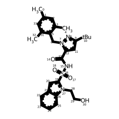 Cc1cc(C)c(Cn2nc(C(C)(C)C)cc2C(=O)NS(=O)(=O)c2cc3ccccc3n2CCO)c(C)c1